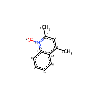 Cc1cc(C)[n+]([O-])c2ccccc12